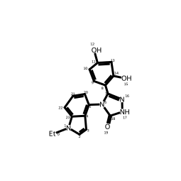 CCn1ccc2c(-n3c(-c4ccc(O)cc4O)n[nH]c3=O)cccc21